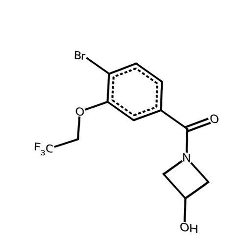 O=C(c1ccc(Br)c(OCC(F)(F)F)c1)N1CC(O)C1